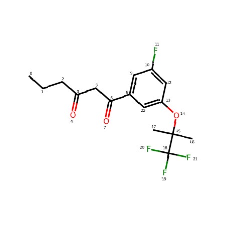 CCCC(=O)CC(=O)c1cc(F)cc(OC(C)(C)C(F)(F)F)c1